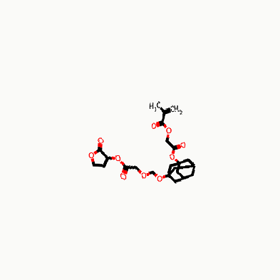 C=C(C)C(=O)OCC(=O)OC12CC3CC(CC(OCOCC(=O)OC4CCOC4=O)(C3)C1)C2